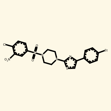 CCc1ccc(-c2csc(N3CCN(S(=O)(=O)c4ccc(Cl)c([N+](=O)[O-])c4)CC3)n2)cc1